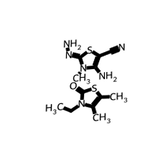 CCn1c(C)c(C)sc1=O.Cn1c(N)c(C#N)sc1=NN